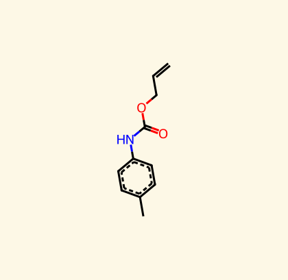 C=CCOC(=O)Nc1ccc(C)cc1